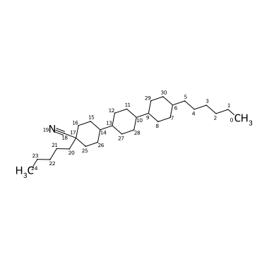 CCCCCCC1CCC(C2CCC(C3CCC(C#N)(CCCCC)CC3)CC2)CC1